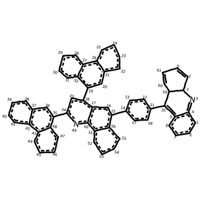 C1=CC2N=c3ccccc3=C(c3ccc(-c4cc5c(-c6cc7ccccc7c7ccccc67)cc(-c6cc7ccccc7c7ccccc67)nc5c5ccccc45)cc3)C2C=C1